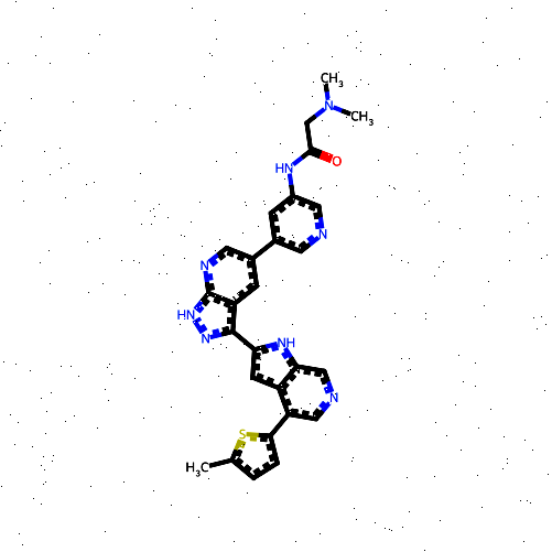 Cc1ccc(-c2cncc3[nH]c(-c4n[nH]c5ncc(-c6cncc(NC(=O)CN(C)C)c6)cc45)cc23)s1